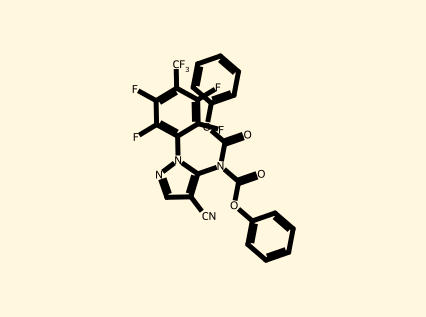 N#Cc1cnn(-c2c(F)c(F)c(C(F)(F)F)c(F)c2F)c1N(C(=O)Oc1ccccc1)C(=O)Oc1ccccc1